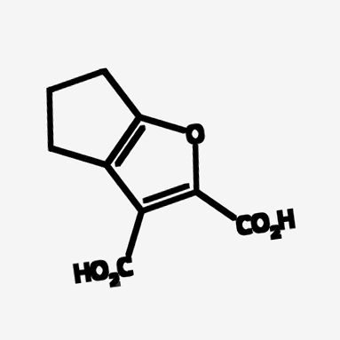 O=C(O)c1oc2c(c1C(=O)O)CCC2